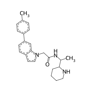 Cc1ccc(-c2ccc3ccn(CC(=O)NC(C)C4CCCCN4)c3c2)cc1